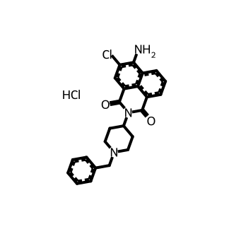 Cl.Nc1c(Cl)cc2c3c(cccc13)C(=O)N(C1CCN(Cc3ccccc3)CC1)C2=O